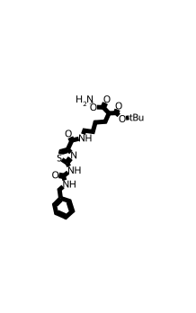 CC(C)(C)OC(=O)C(CCCCNC(=O)c1csc(NC(=O)NCc2ccccc2)n1)C(=O)ON